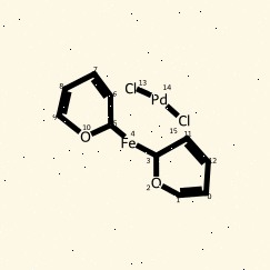 C1=CO[CH]([Fe][CH]2C=CC=CO2)C=C1.[Cl][Pd][Cl]